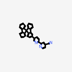 N#Cc1ccnc(-c2ccc(-c3ccc4c(c3)-c3ccccc3C43c4ccccc4-c4ccccc43)cn2)c1